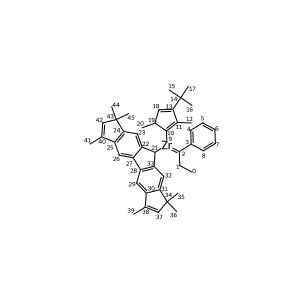 CC[C](c1ccccc1)=[Zr]([C]1=C(C)C(C(C)(C)C)=CC1C)[CH]1c2cc3c(cc2-c2cc4c(cc21)C(C)(C)C=C4C)C(C)=CC3(C)C